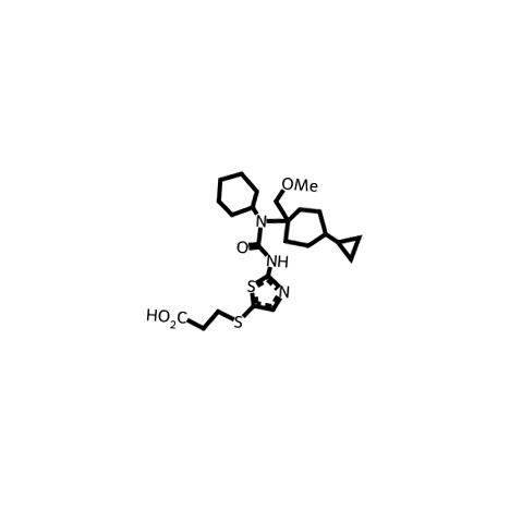 COCC1(N(C(=O)Nc2ncc(SCCC(=O)O)s2)C2CCCCC2)CCC(C2CC2)CC1